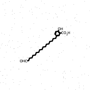 O=CCCCCCCCCCCCCCCCCCc1ccc(O)c(C(=O)O)c1